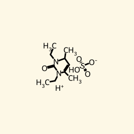 CCN1C(=O)N(CC)C(C)C=C1C.O=S(=O)([O-])O.[H+]